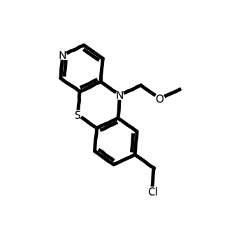 COCN1c2ccncc2Sc2ccc(CCl)cc21